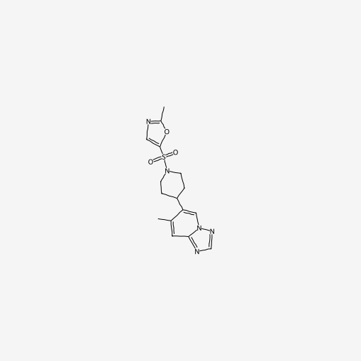 Cc1ncc(S(=O)(=O)N2CCC(c3cn4ncnc4cc3C)CC2)o1